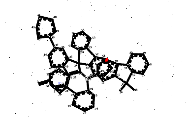 C=C/C=C\C1=C(N(c2ccc3c(c2)C(C)(C)c2ccccc2-3)c2ccccc2-c2ccccc2)C2(c3cc(-c4ccccc4)ccc31)c1ccccc1-c1ccccc12